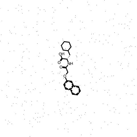 O=C(COc1ccc2ccccc2c1)N[C@@H](CC1CCCCC1)C(=O)O